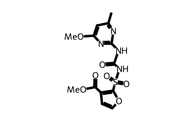 COC(=O)c1ccoc1S(=O)(=O)NC(=O)Nc1nc(C)cc(OC)n1